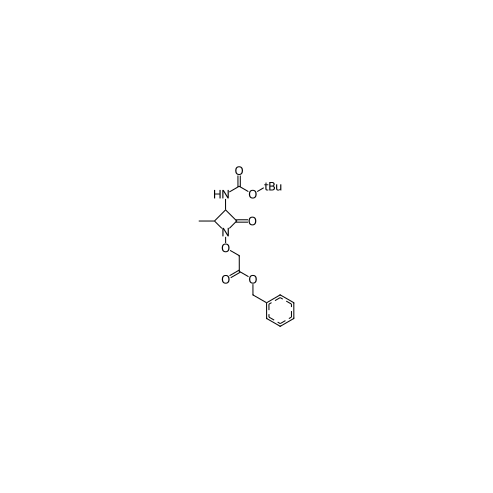 CC1C(NC(=O)OC(C)(C)C)C(=O)N1OCC(=O)OCc1ccccc1